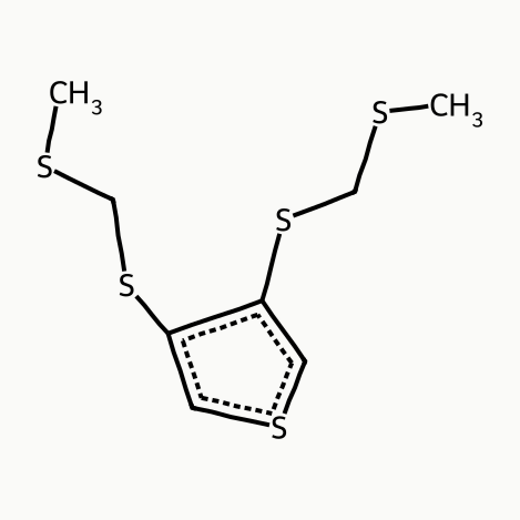 CSCSc1cscc1SCSC